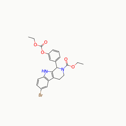 CCOC(=O)Oc1cccc(C2c3[nH]c4ccc(Br)cc4c3CCN2C(=O)OCC)c1